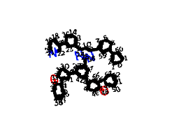 c1ccc(-c2cccc(-c3cc(-c4cccc(-c5cccnc5)c4)nc(-c4cc(-c5ccc6oc7ccccc7c6c5)cc(-c5ccc6oc7ccccc7c6c5)c4)n3)c2)cc1